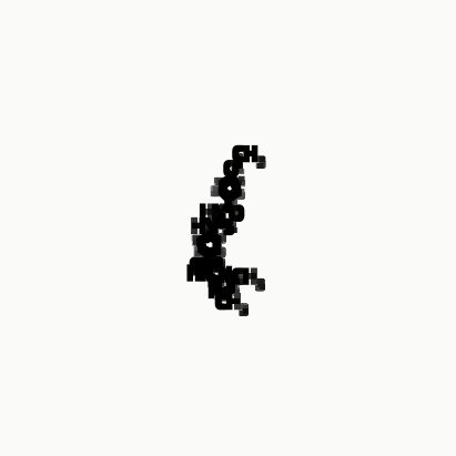 CCOc1ccc(C(=O)NC(=S)Nc2ccc(S(=O)(=O)Nc3nc(C)cc(C)n3)cc2)cc1